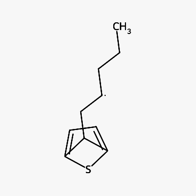 CCC[CH]CC1c2ccc1s2